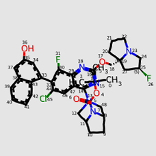 CC(C)(C)OC(=O)N1C2CCC1CN(c1nc(OC[C@]34CCCN3C[C@@H](F)C4)nc3c(F)c(-c4cc(O)cc5ccccc45)c(Cl)cc13)C2